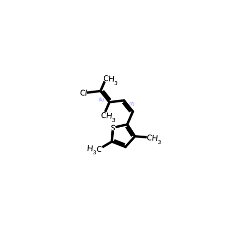 C/C(Cl)=C(C)\C=C/c1sc(C)cc1C